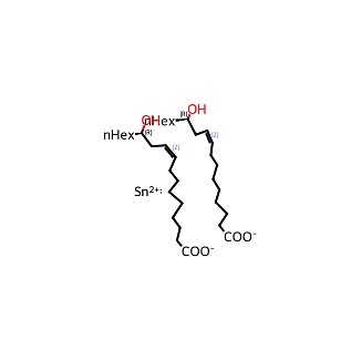 CCCCCC[C@@H](O)C/C=C\CCCCCCCC(=O)[O-].CCCCCC[C@@H](O)C/C=C\CCCCCCCC(=O)[O-].[Sn+2]